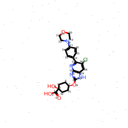 O=C(O)[C@]1(O)CC[C@@H](Oc2nc3nc(-c4ccc(N5CCOCC5)cc4)c(Cl)cc3[nH]2)CC1